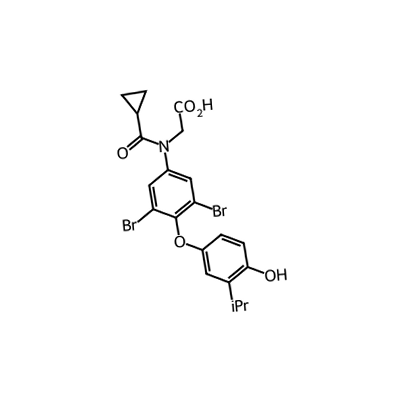 CC(C)c1cc(Oc2c(Br)cc(N(CC(=O)O)C(=O)C3CC3)cc2Br)ccc1O